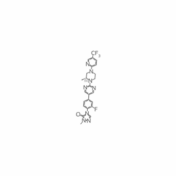 C[C@H]1CN(c2ccc(C(F)(F)F)cn2)CCN1c1ncc(-c2ccc(-n3cnn(C)c3=O)c(F)c2)cn1